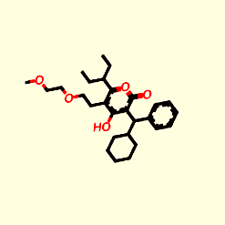 CCC(CC)c1oc(=O)c(C(c2ccccc2)C2CCCCC2)c(O)c1CCOCCOC